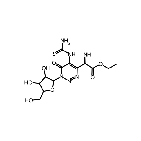 CCOC(=O)C(=N)c1nnn(C2OC(CO)C(O)C2O)c(=O)c1NC(N)=S